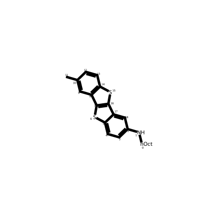 CCCCCCCCNc1ccc2sc3c4cc(C)ccc4sc3c2c1